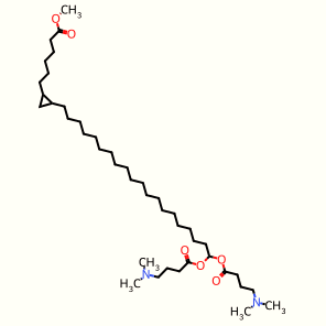 COC(=O)CCCCCC1CC1CCCCCCCCCCCCCCCCCCCC(OC(=O)CCCN(C)C)OC(=O)CCCN(C)C